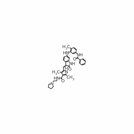 Cc1ccc(NC(=O)c2ccccc2)cc1Nc1ccc2c(c1)NC(=O)/C2=C\c1[nH]c(C)c(C(=O)NCCN2CCCC2)c1C